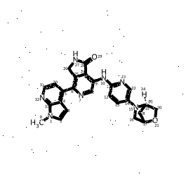 Cn1ccc2c(-c3ncc(Nc4ccc(N5CC6C[C@@H]5CO6)cn4)c4c3CNC4=O)ccnc21